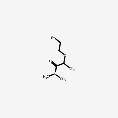 CC(C)CCOC(C)C(=O)N(C)C